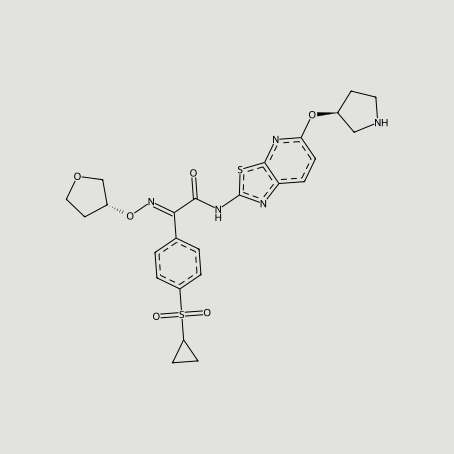 O=C(Nc1nc2ccc(O[C@H]3CCNC3)nc2s1)/C(=N/O[C@@H]1CCOC1)c1ccc(S(=O)(=O)C2CC2)cc1